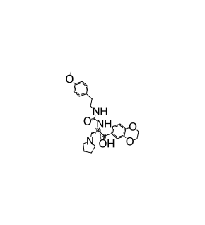 COc1ccc(CCNC(=O)N[C@H](CN2CCCC2)[C@H](O)c2ccc3c(c2)OCCO3)cc1